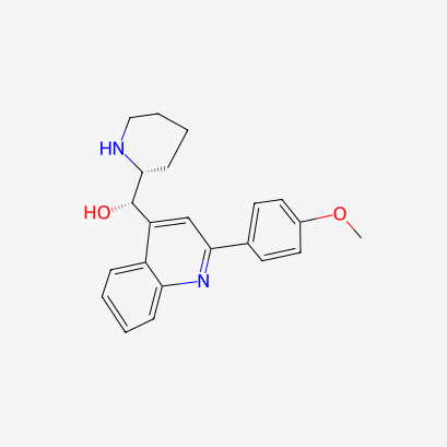 COc1ccc(-c2cc([C@H](O)[C@H]3CCCCN3)c3ccccc3n2)cc1